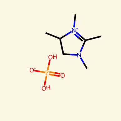 CC1=[N+](C)C(C)CN1C.O=P([O-])(O)O